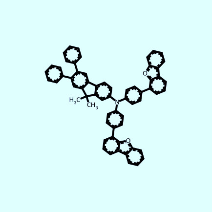 CC1(C)c2cc(N(c3ccc(-c4cccc5c4oc4ccccc45)cc3)c3ccc(-c4cccc5c4oc4ccccc45)cc3)ccc2-c2cc(-c3ccccc3)c(-c3ccccc3)cc21